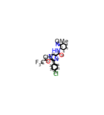 CO/N=C1\CCCC[C@@H]1NC(=O)c1cnc(O[C@@H](C)C(F)(F)F)c(-c2ccc(Cl)cc2)n1